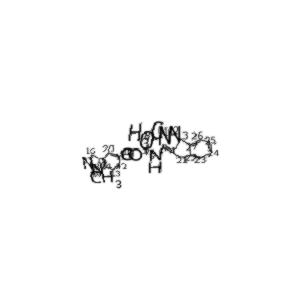 Cn1nc2c(c1NC(=O)OCc1ccc3c(cnn3C)c1)Cc1ccccc1-2